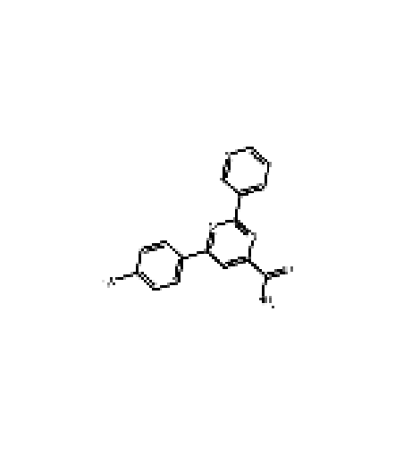 NC(=O)c1cc(-c2ccc(C(F)(F)F)cc2)nc(-c2cccnc2)n1